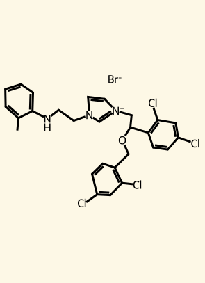 Cc1ccccc1NCCn1cc[n+](CC(OCc2ccc(Cl)cc2Cl)c2ccc(Cl)cc2Cl)c1.[Br-]